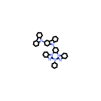 c1ccc(-n2c3nc4ccccc4n3c3ccc(-n4c5ccccc5c5cc(-n6c7ccccc7c7ccccc76)ccc54)cc3n3c4ccccc4nc23)cc1